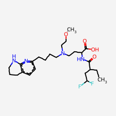 CCC(CC(F)F)C(=O)NC(CCN(CCCCc1ccc2c(n1)NCCC2)CCOC)C(=O)O